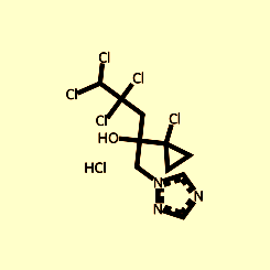 Cl.OC(Cn1cncn1)(CC(Cl)(Cl)C(Cl)Cl)C1(Cl)CC1